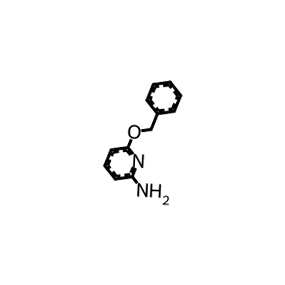 Nc1cccc(OCc2ccccc2)n1